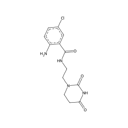 Nc1ccc(Cl)cc1C(=O)NCCN1CCC(=O)NC1=O